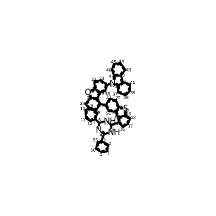 c1ccc(C2=NC(c3ccccc3)NC(c3cccc4sc5ccc(-c6cccc7oc8ccc(-n9c%10ccccc%10c%10ccccc%109)cc8c67)cc5c34)N2)cc1